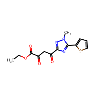 CCOC(=O)C(=O)CC(=O)c1nc(-c2cccs2)n(C)n1